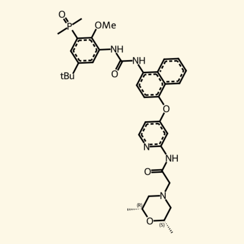 COc1c(NC(=O)Nc2ccc(Oc3ccnc(NC(=O)CN4C[C@@H](C)O[C@@H](C)C4)c3)c3ccccc23)cc(C(C)(C)C)cc1P(C)(C)=O